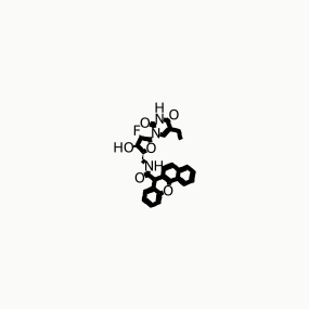 CCc1cn([C@@H]2O[C@H](CNC(=O)C3c4ccccc4Oc4c3ccc3ccccc43)[C@@H](O)[C@@H]2F)c(=O)[nH]c1=O